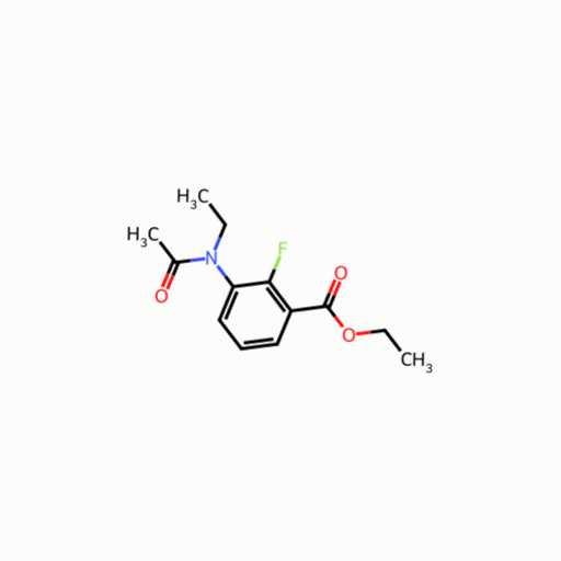 CCOC(=O)c1cccc(N(CC)C(C)=O)c1F